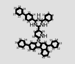 C1=C(C2NC(c3ccccc3)NC(c3ccc(-c4ccccc4)cc3)N2)CNC(n2c3cc(-c4ccccc4)ccc3c3c4ccccc4c(-c4ccccc4)cc32)=C1